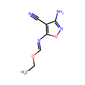 CCOC=Nc1onc(N)c1C#N